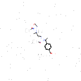 CCC(=O)N(CC[C@@](C)(CC)[N+]1=C(CC)OCC1)C(C)c1ccc(C(=O)OC)cc1